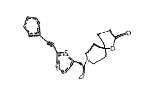 O=C1CCC2(CCN(C(=O)c3cnc(C#Cc4ccccc4)s3)CC2)O1